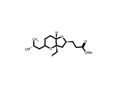 [C-]#[N+][C@H](C)CC1CC[C@@H]2O[C@@H](CCC(=O)OC)C[C@]2(CI)O1